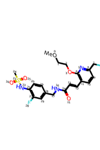 COCCOc1nc(CF)ccc1/C=C/C(=O)NCc1ccc(NS(C)(=O)=O)c(F)c1